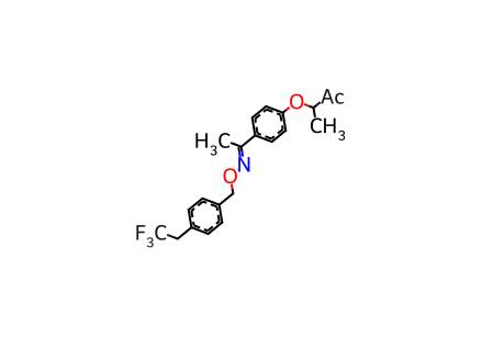 CC(=O)C(C)Oc1ccc(C(C)=NOCc2ccc(CC(F)(F)F)cc2)cc1